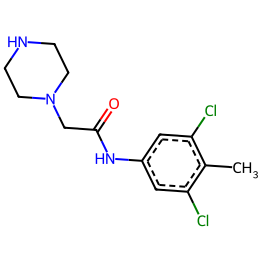 Cc1c(Cl)cc(NC(=O)CN2CCNCC2)cc1Cl